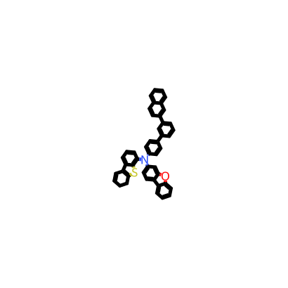 C1=Cc2c(sc3c(N(c4ccc(-c5cccc(-c6ccc7ccccc7c6)c5)cc4)c4ccc5c(c4)oc4ccccc45)cccc23)CC1